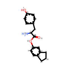 NC(Cc1ccc(O)cc1)C(=O)Oc1ccc2c(c1)CCC2